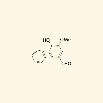 COc1cc(C=O)ccc1O.c1ccccc1